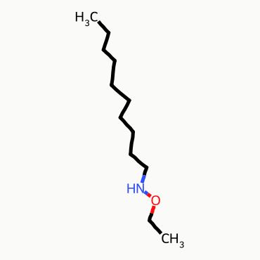 CCCCCCCCCCNOCC